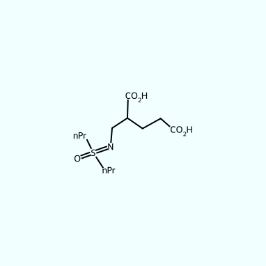 CCCS(=O)(CCC)=NCC(CCC(=O)O)C(=O)O